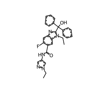 CCn1cc(NC(=O)c2cc3c(cc2F)nc(C(O)(c2ccccc2)c2ccccc2)n3CC)cn1